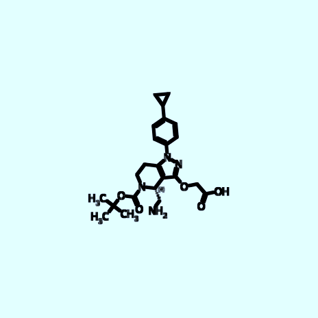 CC(C)(C)OC(=O)N1CCc2c(c(OCC(=O)O)nn2-c2ccc(C3CC3)cc2)[C@@H]1CN